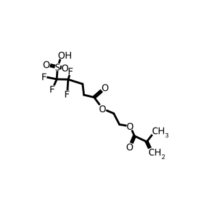 C=C(C)C(=O)OCCOC(=O)CCC(F)(F)C(F)(F)S(=O)(=O)O